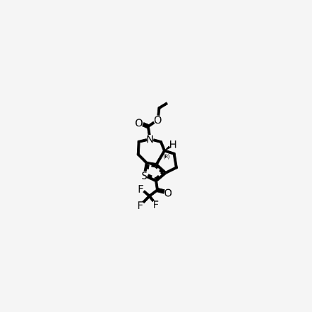 CCOC(=O)N1CCc2sc(C(=O)C(F)(F)F)c3c2[C@@H](CC3)C1